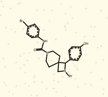 CC(C)N1CC2(CCN(C(=O)Nc3ccc(Br)cc3)CC2)C1c1ccc(O)cc1